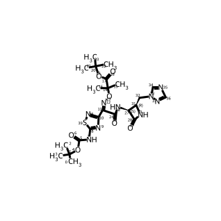 CC(C)(C)OC(=O)Nc1nc(C(=NOC(C)(C)C(=O)OC(C)(C)C)C(=O)N[C@@H]2C(=O)N[C@@H]2Cn2cncn2)ns1